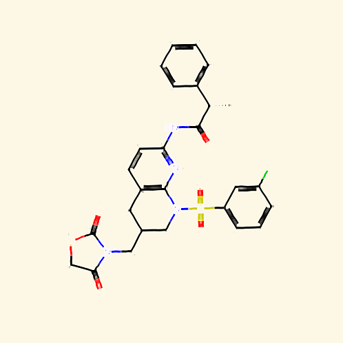 C[C@H](C(=O)Nc1ccc2c(n1)N(S(=O)(=O)c1cccc(Cl)c1)CC(CN1C(=O)COC1=O)C2)c1ccccc1